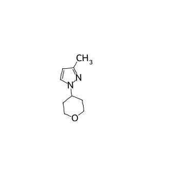 Cc1ccn(C2CCOCC2)n1